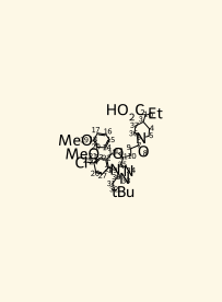 CCC(C(=O)O)C1CCN(C(=O)CC[C@@H]2O[C@@H](c3cccc(OC)c3OC)c3cc(Cl)ccc3-n3c(CC(C)(C)C)nnc32)CC1